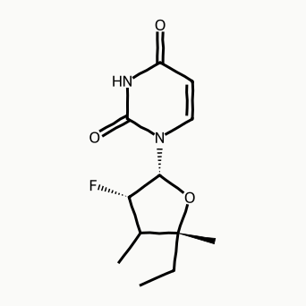 CC[C@@]1(C)O[C@@H](n2ccc(=O)[nH]c2=O)[C@@H](F)C1C